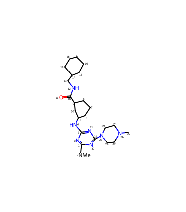 CNc1nc(NC2CCCC(C(=O)NCC3CCCCC3)C2)nc(N2CCN(C)CC2)n1